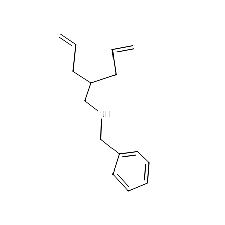 C=CCC(CC=C)CNCc1ccccc1.Cl